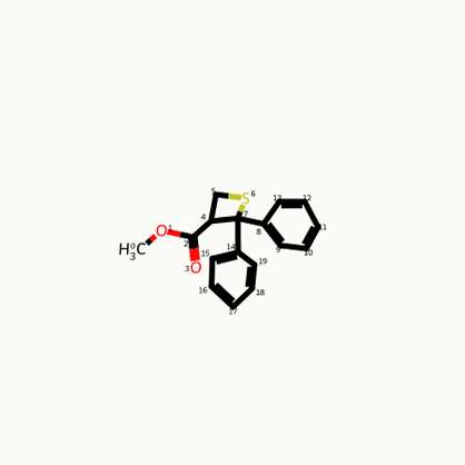 COC(=O)C1CSC1(c1ccccc1)c1ccccc1